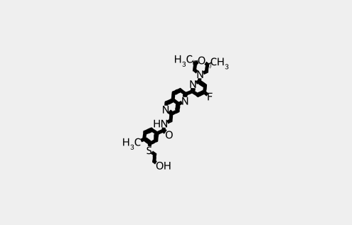 Cc1ccc(C(=O)NCc2cc3nc(-c4cc(F)cc(N5C[C@@H](C)O[C@@H](C)C5)n4)ccc3cn2)cc1SCCO